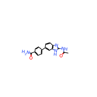 CC(=O)Nc1nc2ccc(-c3ccc(C(N)=O)cc3)cc2[nH]1